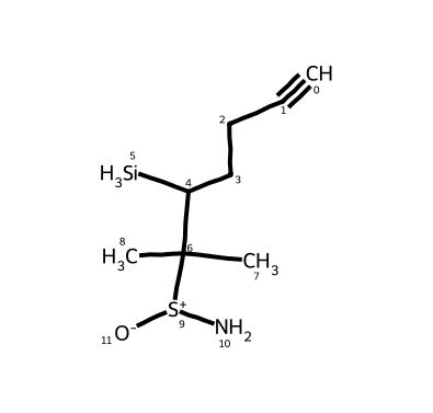 C#CCCC([SiH3])C(C)(C)[S+](N)[O-]